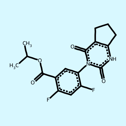 CC(C)OC(=O)c1cc(-n2c(=O)[nH]c3c(c2=O)CCC3)c(F)cc1F